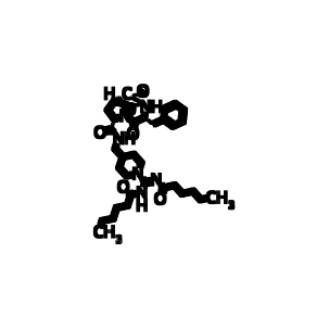 CCCCCC(=O)N=C(NC(=O)CCCCC)N1CCC(CNC(=O)[C@@H]2CCCN2C(=O)[C@@H](Cc2ccccc2)NS(C)(=O)=O)CC1